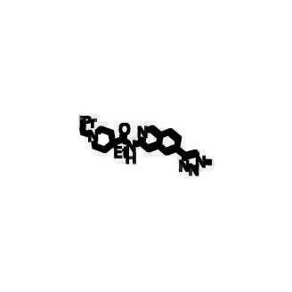 CCC1(C(=O)Nc2cc3cc(-c4cn(C)nn4)ccc3cn2)CCN(CC(C)C)CC1